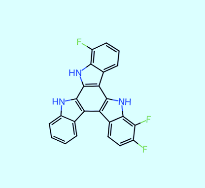 Fc1ccc2c([nH]c3c4c5cccc(F)c5[nH]c4c4[nH]c5ccccc5c4c23)c1F